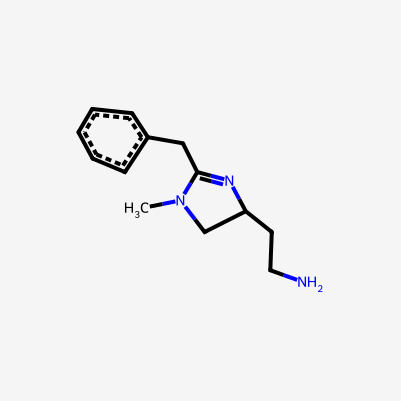 CN1CC(CCN)N=C1Cc1ccccc1